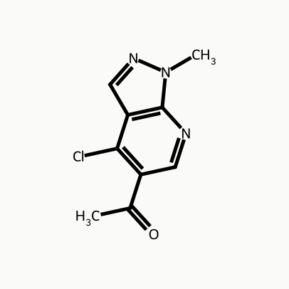 CC(=O)c1cnc2c(cnn2C)c1Cl